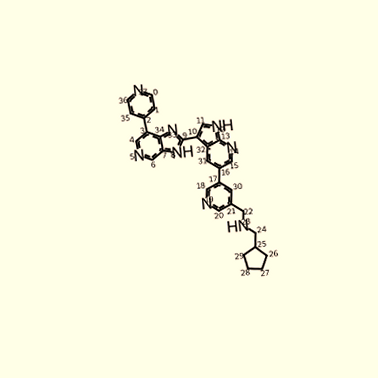 c1cc(-c2cncc3[nH]c(-c4c[nH]c5ncc(-c6cncc(CNCC7CCCC7)c6)cc45)nc23)ccn1